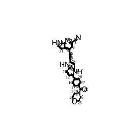 N#Cc1cc(C#Cc2cnc(/C=C\C(=N)c3ccc(C(=O)N4CCOCC4)cc3)[nH]2)c2cc[nH]c2n1